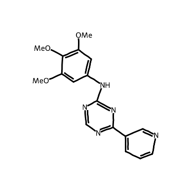 COc1cc(Nc2ncnc(-c3cccnc3)n2)cc(OC)c1OC